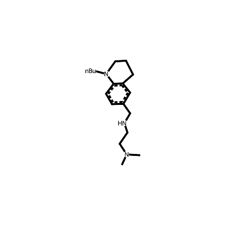 CCCCN1CCCc2cc(CNCCN(C)C)ccc21